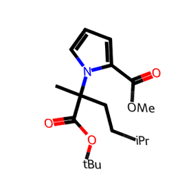 COC(=O)c1cccn1C(C)(CCC(C)C)C(=O)OC(C)(C)C